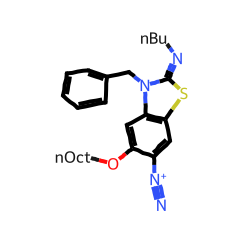 CCCCCCCCOc1cc2c(cc1[N+]#N)s/c(=N/CCCC)n2Cc1ccccc1